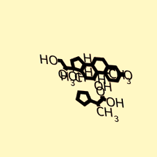 CC(C(=O)O)C1CCCC1.C[C@]12CCC(=O)C=C1CC[C@@H]1[C@@H]2[C@@H](O)C[C@@]2(C)[C@H]1CC[C@]2(O)C(=O)CO